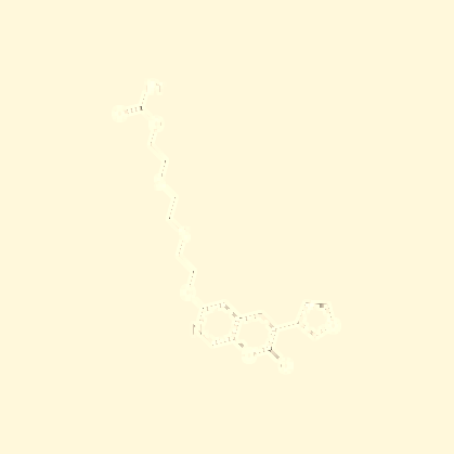 CC(C)C(=O)OCCSCCSCCOc1cc2cc(-c3ccoc3)c(=O)oc2cn1